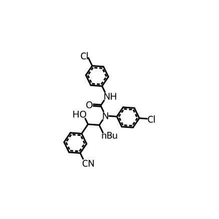 CCCCC(C(O)c1cccc(C#N)c1)N(C(=O)Nc1ccc(Cl)cc1)c1ccc(Cl)cc1